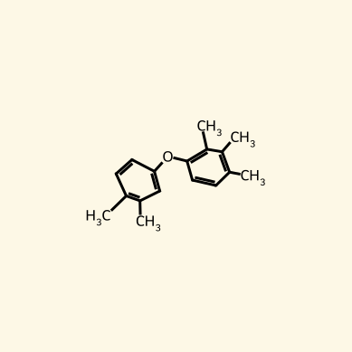 Cc1ccc(Oc2ccc(C)c(C)c2C)cc1C